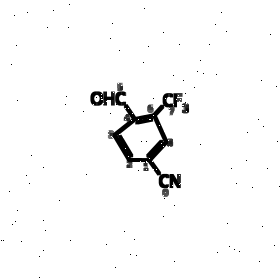 N#Cc1ccc(C=O)c(C(F)(F)F)c1